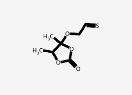 CC1OC(=O)OC1(C)OCC=S